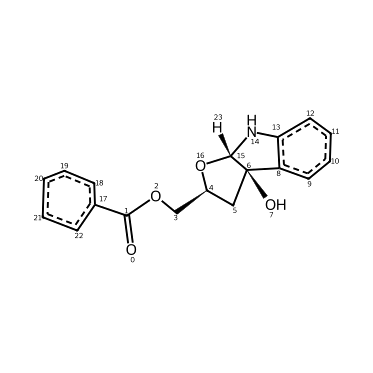 O=C(OC[C@@H]1C[C@@]2(O)c3ccccc3N[C@H]2O1)c1ccccc1